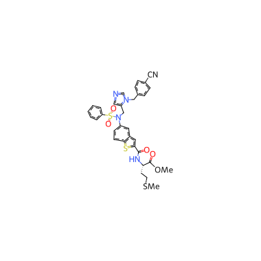 COC(=O)[C@H](CCSC)NC(=O)c1cc2cc(N(Cc3cncn3Cc3ccc(C#N)cc3)S(=O)(=O)c3ccccc3)ccc2s1